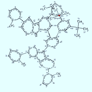 Cc1ccccc1-c1ccc2[nH]c3c(-c4cc(-n5c6ccc(-c7ccccc7C)cc6c6cc(-c7ccccc7C)ccc65)ccc4-c4cc(C(C)(C)C)cc(C(C)(C)C)c4)cc(-c4ccccc4C)cc3c2c1